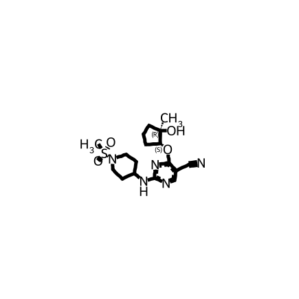 C[C@@]1(O)CCC[C@@H]1Oc1nc(NC2CCN(S(C)(=O)=O)CC2)ncc1C#N